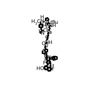 CCc1c(F)ccc2cc(O)cc(-c3ncc4c(N5CC6CCC(C5)N6)nc(OCC56CCCN5C(COC(=O)NCCOCCOCCC(=O)NC(C(=O)N5CCC[C@H]5C(=O)N[C@@H](C)c5ccc(-c7scnc7C)cc5)C(C)(C)C)CC6)nc4c3F)c12